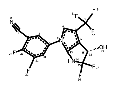 N#Cc1cc(-n2cc(C(F)(F)F)c3c2NC(F)(F)[C@H]3O)cc(F)c1F